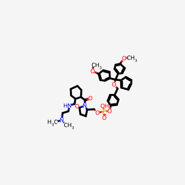 COc1ccc(C(OCc2ccc(OP(=O)(O)OCC3CCCN3C(=O)C3CCCCC3C(=O)NCCN(C)C)cc2)(c2ccccc2)c2ccc(OC)cc2)cc1